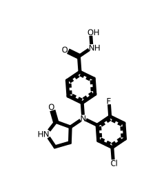 O=C(NO)c1ccc(N(c2cc(Cl)ccc2F)C2CCNC2=O)cc1